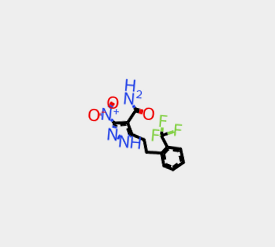 NC(=O)c1c([N+](=O)[O-])n[nH]c1CCc1ccccc1C(F)(F)F